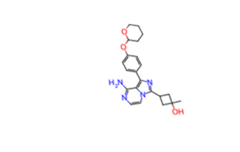 CC1(O)CC(c2nc(-c3ccc(OC4CCCCO4)cc3)c3c(N)nccn23)C1